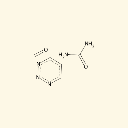 C=O.NC(N)=O.c1cnnnc1